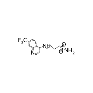 NS(=O)(=O)CCCCNc1ccnc2cc(C(F)(F)F)ccc12